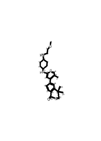 COCCNC1CCC(Nc2cc(-c3ccc4c(c3)C(C)(C)CNC4=O)c(C)cn2)CC1